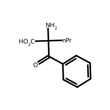 CCCC(N)(C(=O)O)C(=O)c1ccccc1